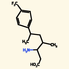 CC(CC(C)C(N)CC(=O)O)c1ccc(C(F)(F)F)cc1